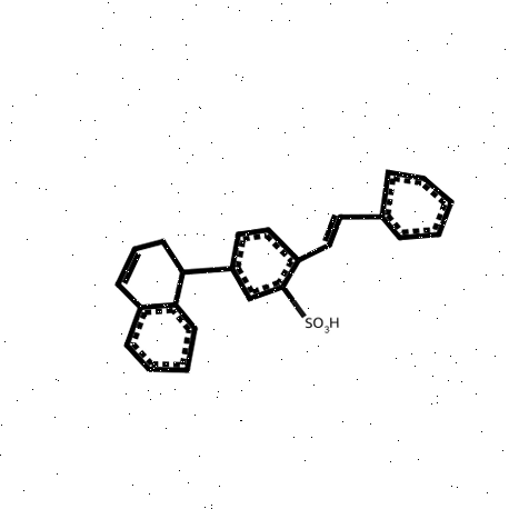 O=S(=O)(O)c1cc(C2CC=Cc3ccccc32)ccc1C=Cc1ccccc1